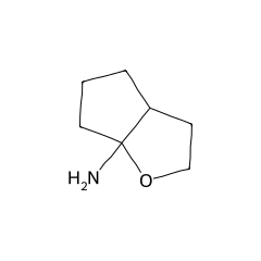 NC12CCCC1CCO2